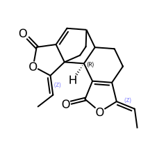 C/C=C1\OC(=O)C2=C1CCC1C3C=C4C(=O)O/C(=C\C)C4(CC3)[C@H]21